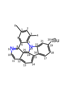 Cc1cc(C)c2c(c1)c1nccc3ccc4c5ccc(C(C)(C)C)cc5n2c4c31